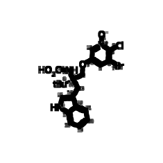 CC(C)(C)[C@](COc1cc(Br)c(Cl)[n+]([O-])c1)(Cc1c[nH]c2ccccc12)NC(=O)O